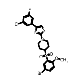 COc1ccc(Br)cc1S(=O)(=O)C1CCN(c2nc(-c3cc(F)cc(Cl)c3)cs2)CC1